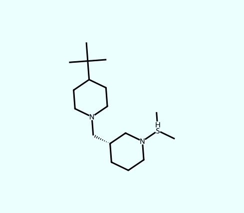 C[SH](C)N1CCC[C@H](CN2CCC(C(C)(C)C)CC2)C1